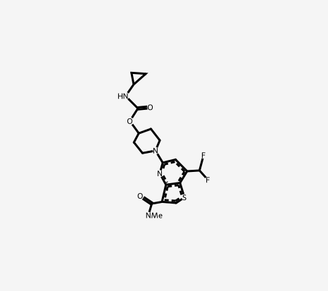 CNC(=O)c1csc2c(C(F)F)cc(N3CCC(OC(=O)NC4CC4)CC3)nc12